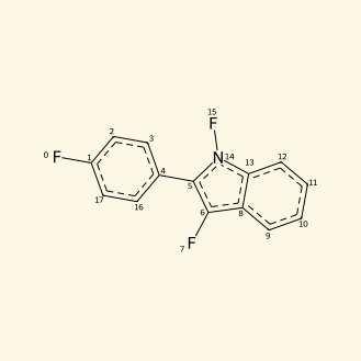 Fc1ccc(-c2c(F)c3ccccc3n2F)cc1